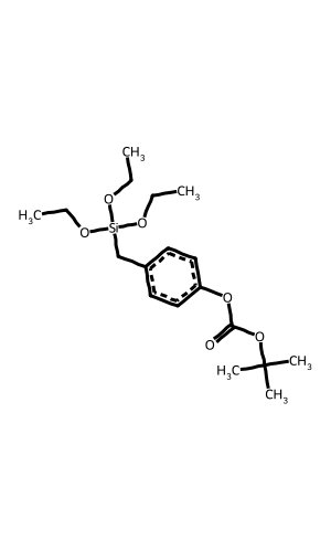 CCO[Si](Cc1ccc(OC(=O)OC(C)(C)C)cc1)(OCC)OCC